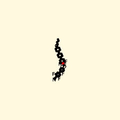 CCCCOC1CCC(C2CCC(c3cc(F)c(C(F)(F)Oc4ccc(-c5cc(F)c(C#N)c(F)c5)c(F)c4)c(F)c3)CC2)CC1